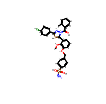 COc1c(OCc2ccc(S(N)(=O)=O)cc2)cccc1C1SC(c2ccc(F)cc2)=NN1C(=O)c1ccccc1C